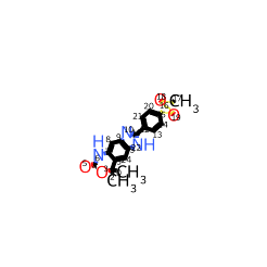 CC1(C)OC(=O)Nc2cc3nc(-c4ccc(S(C)(=O)=O)cc4)[nH]c3cc21